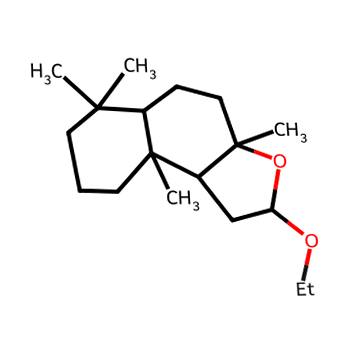 CCOC1CC2C(C)(CCC3C(C)(C)CCCC32C)O1